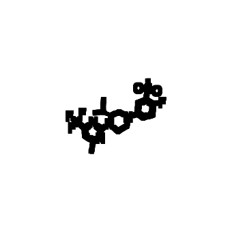 Cc1cc(C(F)(F)F)nc(N2CCN(c3ccc(F)c(S(C)(=O)=O)c3)C[C@H]2C(C)C)n1